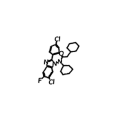 O=C(CC1CCCCC1)N(C1CCCCC1)n1c(-c2ccc(Cl)cc2)nc2cc(F)c(Cl)cc21